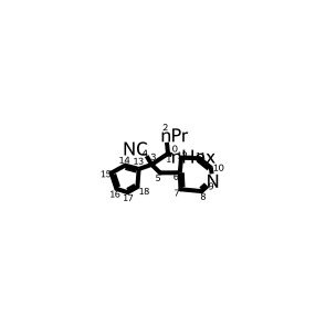 CCCCCCC(CCC)C(C#N)(CC1=CC=NC=CC1)c1ccccc1